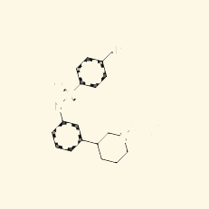 CC(C)c1ccc(S(=O)(=O)Nc2cccc(C3CCCN(C(=O)O)C3)c2)cc1